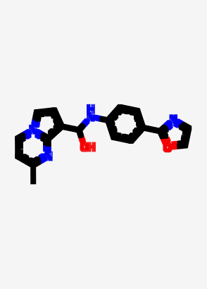 Cc1ccn2ccc(C(O)Nc3ccc(-c4ncco4)cc3)c2n1